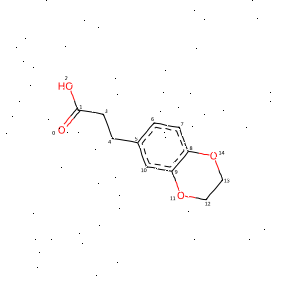 O=C(O)CCc1ccc2c(c1)OCCO2